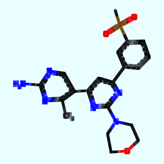 CS(=O)(=O)c1cccc(-c2cc(-c3cnc(N)nc3C(F)(F)F)nc(N3CCOCC3)n2)c1